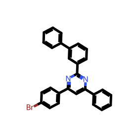 Brc1ccc(-c2cc(-c3ccccc3)nc(-c3cccc(-c4ccccc4)c3)n2)cc1